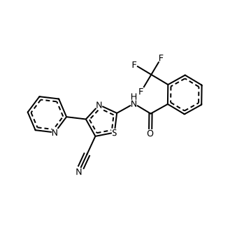 N#Cc1sc(NC(=O)c2ccccc2C(F)(F)F)nc1-c1ccccn1